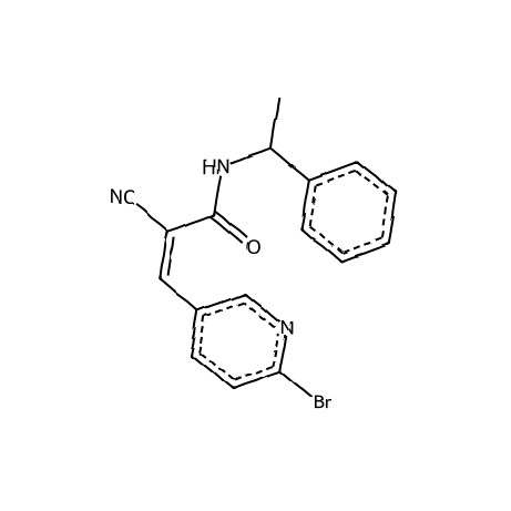 CC(NC(=O)C(C#N)=Cc1ccc(Br)nc1)c1ccccc1